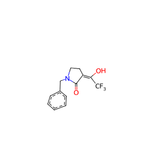 O=C1/C(=C(/O)C(F)(F)F)CCN1Cc1ccccc1